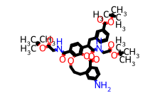 CC(C)(C)OC(=O)CNC(=O)c1ccc(C(Cc2cccc(C(=O)OC(C)(C)C)c2)C(=O)NCC(=O)OC(C)(C)C)c2c1OCCCc1cc(N)ccc1C(=O)O2